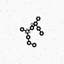 c1ccc(-c2ccc(-c3cc(-c4ccccc4)cc4oc5cc(-c6nc(-c7ccccc7)nc(-c7ccc(-c8cccc(-c9ccccc9)c8)cc7)n6)ccc5c34)cc2)cc1